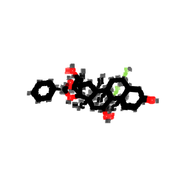 C[C@]12C=CC(=O)C=C1[C@@H](F)C[C@H]1[C@@H]3C[C@H]4O[C@@H](c5ccccc5)O[C@@]4(C(=O)CO)[C@@]3(C)C[C@H](O)[C@@]12F